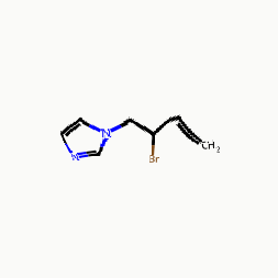 C=CC(Br)Cn1ccnc1